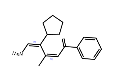 C=C(/C=C(C)\C(=C/NC)C1CCCC1)c1ccccc1